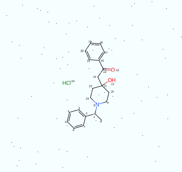 CC(c1ccccc1)N1CCC(O)(CC(=O)c2ccccc2)CC1.Cl